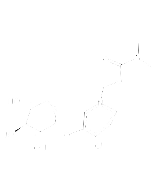 CN(C)C(=O)OC[n+]1cccc(O[C@H]2SC[C@@H](O)[C@H](O)[C@H]2O)c1.[Cl-]